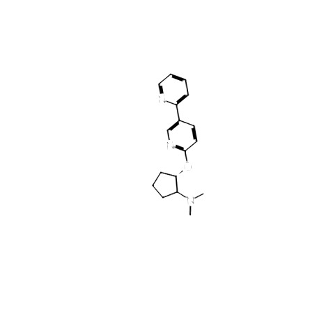 CN(C)C1CCC[C@H]1Oc1ccc(-c2ccccn2)cn1